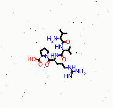 CC(C)[C@H](N)C(=O)N[C@H](C(=O)N[C@@H](CCCNC(=N)N)C(=O)N1CCC[C@H]1C(=O)O)C(C)C